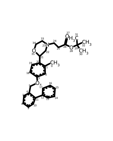 Cc1cc(OCc2ccccc2-c2ccccc2)ccc1C1CN(CCC(=O)OC(C)(C)C)CCO1